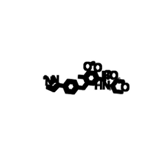 Cc1c(Cc2ccc(-c3ccn(C)n3)cc2)cc(C(=O)N[C@H]2CCOC[C@@H]2O)c2c1OCO2